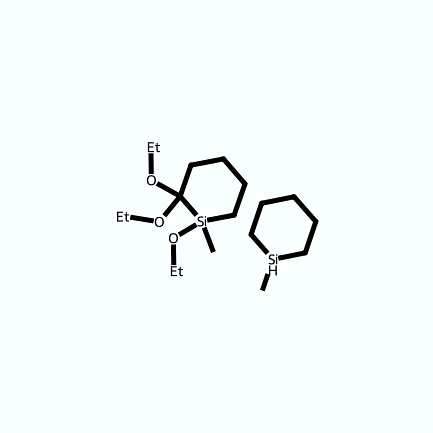 CCOC1(OCC)CCCC[Si]1(C)OCC.C[SiH]1CCCCC1